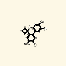 CCc1cc2c(cc1O)OC1(CCC1)c1cc(O)c(CC)cc1-2